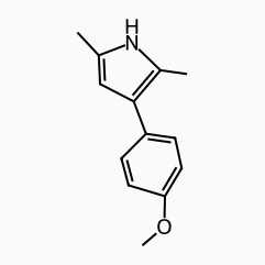 COc1ccc(-c2cc(C)[nH]c2C)cc1